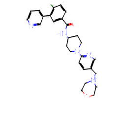 O=C(NC1CCN(c2ccc(CN3CCOCC3)cn2)CC1)c1ccc(F)c(-c2cccnc2)c1